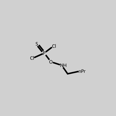 CCCCNOP(=S)(Cl)Cl